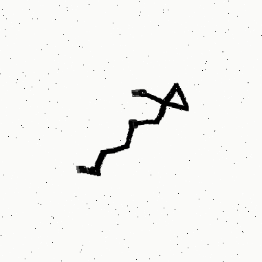 CC(C)COCCOCC1(O)CC1